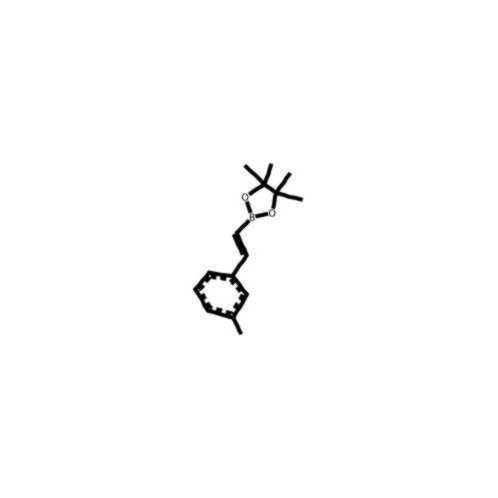 Cc1cccc(/C=C/B2OC(C)(C)C(C)(C)O2)c1